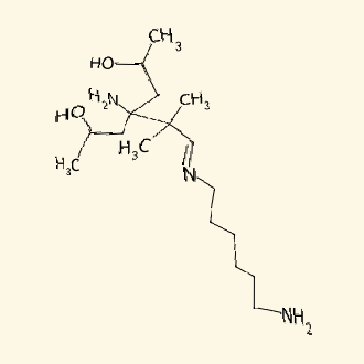 CC(O)CC(N)(CC(C)O)C(C)(C)C=NCCCCCCN